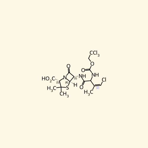 C/C(=C/Cl)C(NC(=O)OCC(Cl)(Cl)Cl)C(=O)N[C@H]1C(=O)N2[C@@H]1SC(C)(C)[C@@H]2C(=O)O